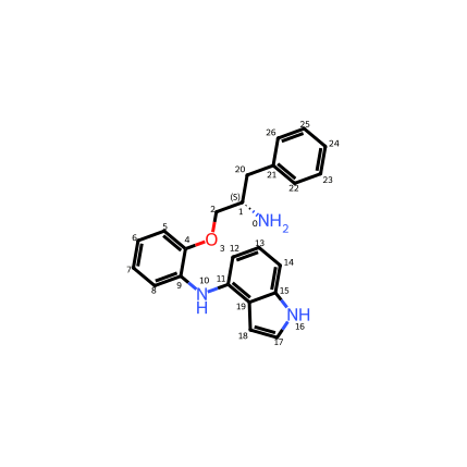 N[C@H](COc1ccccc1Nc1cccc2[nH]ccc12)Cc1ccccc1